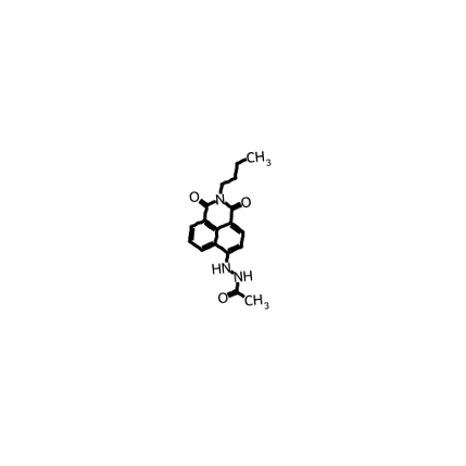 CCCCN1C(=O)c2cccc3c(NNC(C)=O)ccc(c23)C1=O